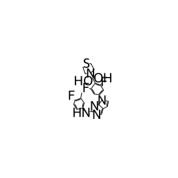 Cc1cc(Nc2ncc3ccn(-c4cc(F)c(C(O)(O)N5CCSCC5)c(F)c4)c3n2)ccc1F